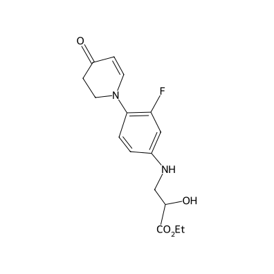 CCOC(=O)C(O)CNc1ccc(N2C=CC(=O)CC2)c(F)c1